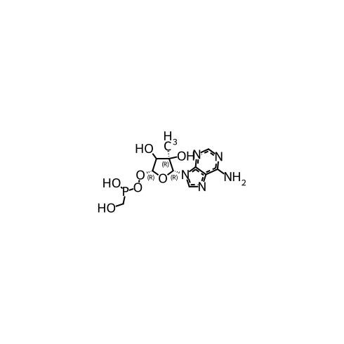 C[C@@]1(O)C(O)[C@@H](OOP(O)CO)O[C@H]1n1cnc2c(N)ncnc21